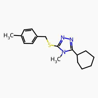 Cc1ccc(CSc2nnc(C3CCCCC3)n2C)cc1